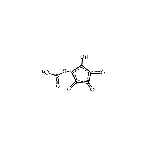 O=c1c(O)c(OS(=O)O)c(=O)c1=O